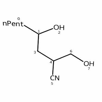 CCCCCC(O)CC(C#N)CO